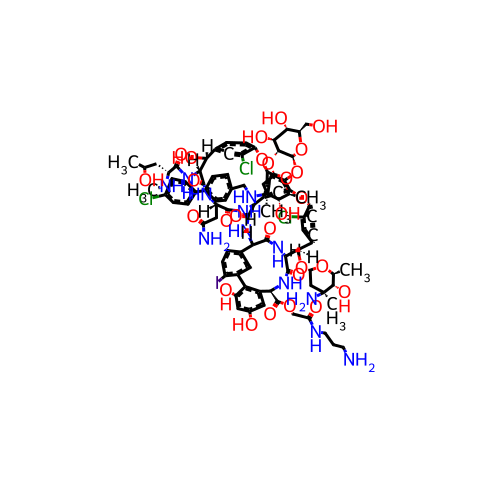 CN[C@H](CC(C)O)C(=O)N[C@H]1C(=O)N[C@@H](CC(N)=O)C(=O)N[C@H]2C(=O)N[C@H]3C(=O)N[C@H](C(=O)N[C@@H](C(=O)OCC(=O)NCCCN)c4cc(O)cc(O)c4-c4cc3ccc4I)[C@H](O[C@H]3C[C@](C)(N)[C@@H](O)[C@H](C)O3)c3ccc(c(Cl)c3)Oc3cc2cc(c3O[C@@H]2O[C@H](CO)[C@@H](O)[C@H](O)[C@H]2O[C@H]2C[C@](C)(NCc3ccc(-c4ccc(Cl)cc4)cc3)[C@@H](O)[C@H](C)O2)Oc2ccc(cc2Cl)[C@H]1O